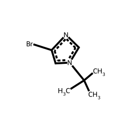 CC(C)(C)n1cnc(Br)c1